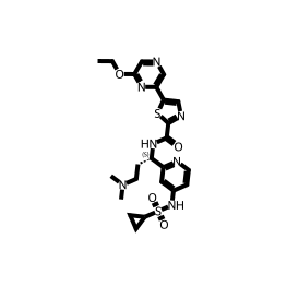 CCOc1cncc(-c2cnc(C(=O)N[C@@H](CCN(C)C)c3cc(NS(=O)(=O)C4CC4)ccn3)s2)n1